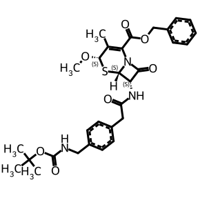 CO[C@H]1S[C@H]2[C@@H](NC(=O)Cc3ccc(CNC(=O)OC(C)(C)C)cc3)C(=O)N2C(C(=O)OCc2ccccc2)=C1C